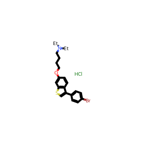 CCN(CC)CCCCOc1ccc2c(-c3ccc(Br)cc3)csc2c1.Cl